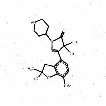 COc1ccc(C2=NN(C3CCNCC3)C(=O)C2(C)C)c2c1OC(C)(C)C2